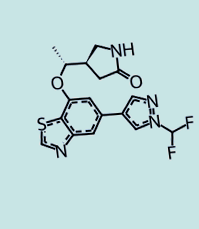 C[C@@H](Oc1cc(-c2cnn(C(F)F)c2)cc2ncsc12)[C@H]1CNC(=O)C1